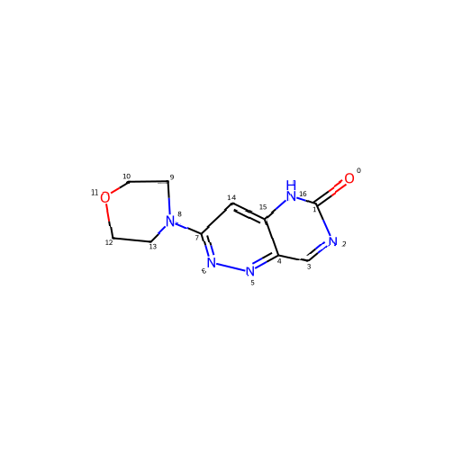 O=c1ncc2nnc(N3CCOCC3)cc2[nH]1